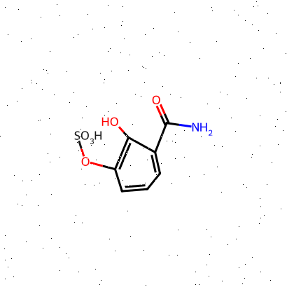 NC(=O)c1cccc(OS(=O)(=O)O)c1O